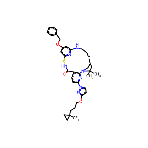 CC1(C)CC2CCCNc3cc(OCc4ccccc4)cc(n3)SNC(=O)c3ccc(-n4ccc(OCCCC5(C(F)(F)F)CC5)n4)nc3N1C2